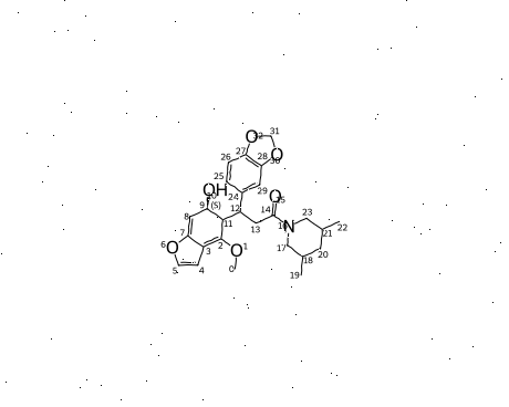 COC1=c2ccoc2=C[C@@H](O)C1C(CC(=O)N1CC(C)CC(C)C1)c1ccc2c(c1)OCO2